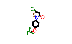 O=c1cc(Cl)sn1-c1ccc(OC(F)(F)F)cc1